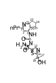 CCCc1cc(NC(=O)N=S(N)(=O)c2cnc(C(C)(C)O)s2)c2c(n1)CCC2